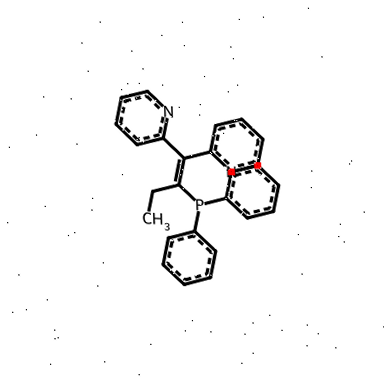 CCC(=C(c1ccccn1)c1ccccn1)P(c1ccccc1)c1ccccc1